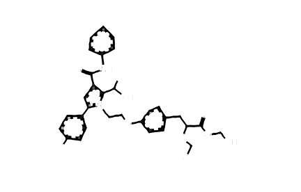 CCOC(=O)C(Cc1ccc(OCCn2c(-c3ccc(F)cc3)cc(C(=O)Nc3ccccc3)c2C(C)C)cc1)OCC